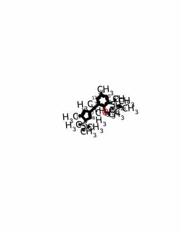 COc1c(C(C)(C)C2=CC([Si](C)(C)C)C(C)=C2)cc(C)cc1[Si](C)(C)C(C)(C)C